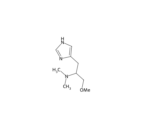 COCC(Cc1c[nH]cn1)N(C)C